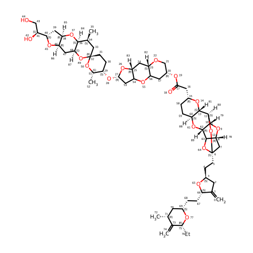 C=C1C[C@H](CC[C@@]23C[C@H]4O[C@H]5[C@@H](O2)[C@H]2O[C@@H](CC(=O)O[C@H]6CO[C@H]7C[C@H]8O[C@@H](O[C@H]9CC[C@@]%10(C[C@H](C)[C@@H]%11O[C@@H]%12C[C@@H]([C@@H](O)CO)O[C@@H]%12C[C@@H]%11O%10)O[C@H]9C)CC8OC7C6)CC[C@@H]2O[C@H]5C4O3)O[C@H]1CC[C@H]1C[C@@H](C)C(=C)[C@@H](CC)O1